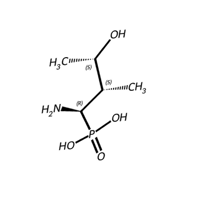 C[C@@H]([C@H](C)O)[C@H](N)P(=O)(O)O